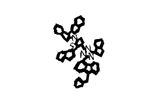 c1ccc(CC2c3ccccc3-c3c(-c4nc(-c5cccc6ccccc56)nc(-c5ccc(-n6c7cc8ccccc8cc7c7c8ccccc8ccc76)c6sc7c8ccccc8ccc7c56)n4)cccc32)cc1